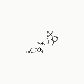 O=C(c1n[nH]c2c1CCNC2)N1CCC(c2c(F)cccc2C(F)(F)F)CC1